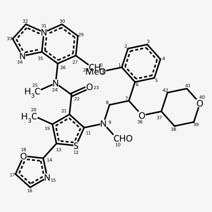 COc1ccccc1C(CN(C=O)c1sc(-c2ncco2)c(C)c1C(=O)N(C)c1c(C)ccn2ccnc12)OC1CCOCC1